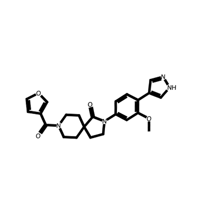 COc1cc(N2CCC3(CCN(C(=O)c4ccoc4)CC3)C2=O)ccc1-c1cn[nH]c1